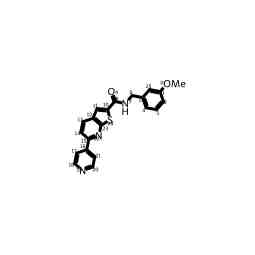 COc1cccc(CNC(=O)c2cc3ccc(-c4ccncc4)nc3s2)c1